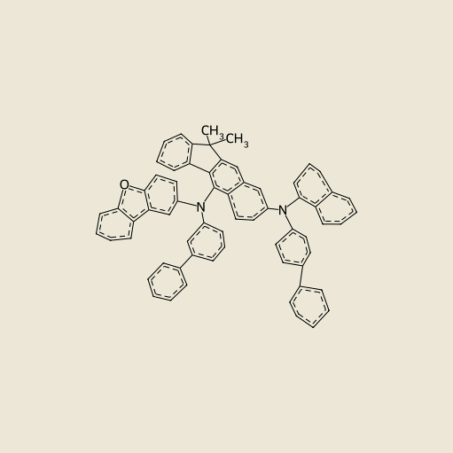 CC1(C)c2ccccc2-c2c1cc1cc(N(c3ccc(-c4ccccc4)cc3)c3cccc4ccccc34)ccc1c2N(c1cccc(-c2ccccc2)c1)c1ccc2oc3ccccc3c2c1